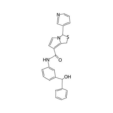 O=C(Nc1cccc(C(O)c2ccccc2)c1)c1ccn2c1CSC2c1cccnc1